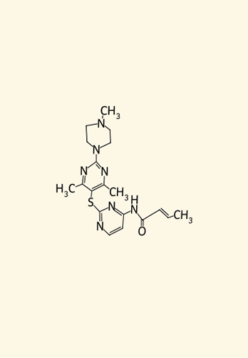 C/C=C/C(=O)Nc1ccnc(Sc2c(C)nc(N3CCN(C)CC3)nc2C)n1